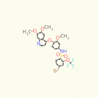 COc1cc2nccc(Oc3ccc(NS(=O)(=O)c4ccc(Br)cc4OC(F)(F)F)cc3OC)c2cc1OC